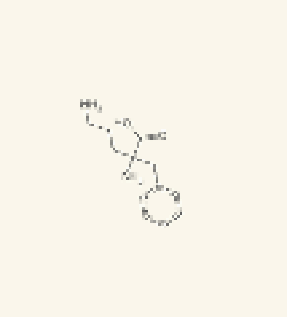 NCCCC(N)(Cc1ccccc1)C(=O)O